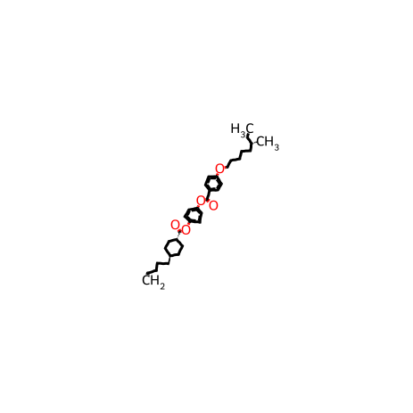 C=CCCC[C@H]1CC[C@H](C(=O)Oc2ccc(OC(=O)c3ccc(OCCCCC[C@@H](C)CC)cc3)cc2)CC1